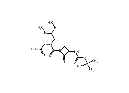 COC(CN(CC(=O)O)C(=O)N1CC(NC(=O)OC(C)(C)C)C1=O)OC